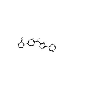 O=C1CCCN1c1ccc(Nc2nc(-c3cnccn3)cs2)nc1